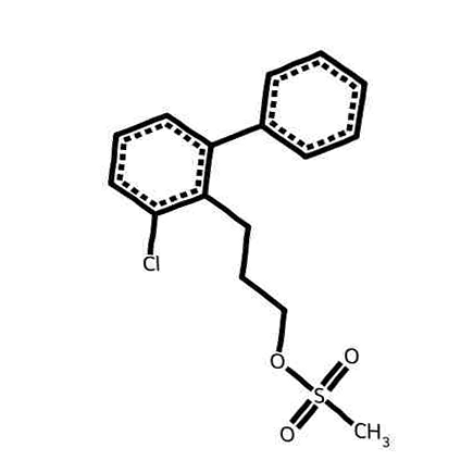 CS(=O)(=O)OCCCc1c(Cl)cccc1-c1ccccc1